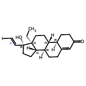 CC[C@]12CC[C@H]3[C@@H](CCC4=CC(=O)CC[C@@H]43)[C@@H]1CC[C@@]2(O)/C=C/I